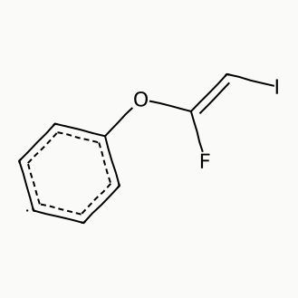 FC(=CI)Oc1cc[c]cc1